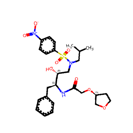 CC(C)CN(C[C@@H](O)[C@H](Cc1ccccc1)NC(=O)CO[C@H]1CCOC1)S(=O)(=O)c1ccc([N+](=O)[O-])cc1